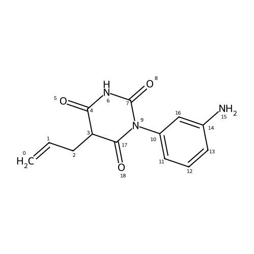 C=CCC1C(=O)NC(=O)N(c2cccc(N)c2)C1=O